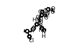 COC(=O)N1CCC(C[C@H]2COc3cc(S(=O)(=O)NC(=O)c4ccc(N5CCN(CC6=C(c7ccc(Cl)cc7)CC(C)(C)CC6)CC5)cc4Oc4cnc5[nH]ccc5c4)cc([N+](=O)[O-])c3N2)CC1